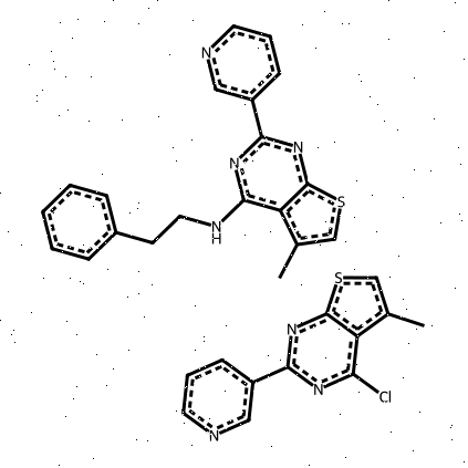 Cc1csc2nc(-c3cccnc3)nc(Cl)c12.Cc1csc2nc(-c3cccnc3)nc(NCCc3ccccc3)c12